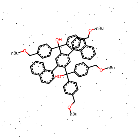 CCCCOCc1ccc(C(O)(c2ccc(COCCCC)cc2)c2cc(-c3cccc4ccccc34)c(C(O)(c3ccc(COCCCC)cc3)c3ccc(COCCCC)cc3)cc2-c2cccc3ccccc23)cc1